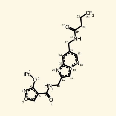 CC(C)Oc1nocc1C(=O)NCc1cn2ncc(CNC(=O)CCC(F)(F)F)cc2n1